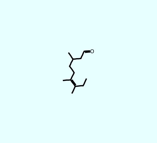 CCC(C)=C(C)CCC(C)CC=O